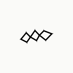 [CH]1CC2(C1)CC1(C[CH]C1)C2